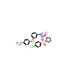 O=C(NCc1cccc(Oc2ccc(C(F)(F)F)cc2)c1)[C@@H]1CCCN1S(=O)(=O)c1ccc(Cl)cc1